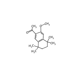 COc1cc2c(cc1C(C)=O)C(C)(C)CCC2(C)C